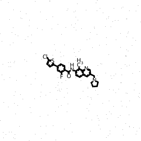 Cc1c(NC(=O)c2ccc(-c3ccc(Cl)s3)cc2F)ccc2cc(CN3CCCC3)cnc12